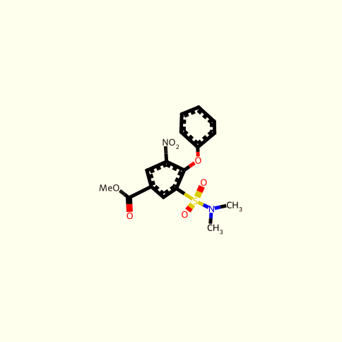 COC(=O)c1cc([N+](=O)[O-])c(Oc2ccccc2)c(S(=O)(=O)N(C)C)c1